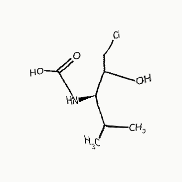 CC(C)[C@@H](NC(=O)O)C(O)CCl